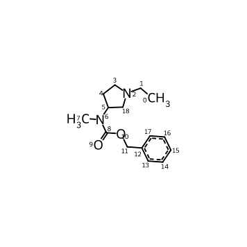 CCN1CCC(N(C)C(=O)OCc2ccccc2)C1